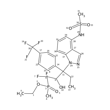 CCOP(C)(=O)C(F)(F)C(O)C(CC)(c1ccc(C(F)(F)F)cc1)n1ncc2c(NS(C)(=O)=O)cccc21